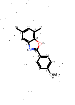 COc1ccc(-c2nc3cc(C)cc(C)c3o2)cc1